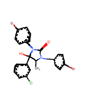 CC1N(c2ccc(Br)cc2)C(=O)N(c2ccc(Br)cc2)C1(O)c1cccc(Cl)c1